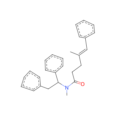 C/C(=C\c1ccccc1)CCC(=O)N(C)C(Cc1ccccc1)c1ccccc1